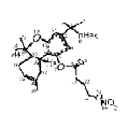 CCCCCCC(C)(C)c1cc(OC(=O)CCCO[N+](=O)[O-])c2c(c1)OC(C)(C)[C@@H]1CC=C(C)C[C@@H]21